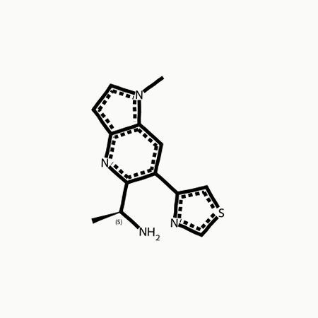 C[C@H](N)c1nc2ccn(C)c2cc1-c1cscn1